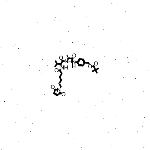 CC(C)[C@H](NC(=O)CCCCCN1C(=O)C=CC1=O)C(=O)N[C@@H](C)C(=O)Nc1ccc(COC(=O)C(C)(C)C)cc1